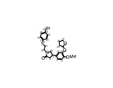 COc1ccc(C2CC(=O)N(CCSc3ccc(C(C)C)cc3)C2)cc1OC1CCCO1